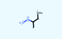 CNCC(C)NN